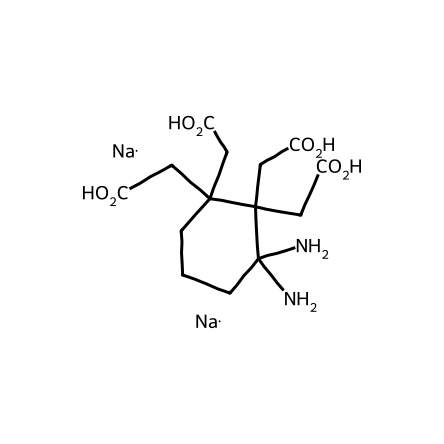 NC1(N)CCCC(CC(=O)O)(CC(=O)O)C1(CC(=O)O)CC(=O)O.[Na].[Na]